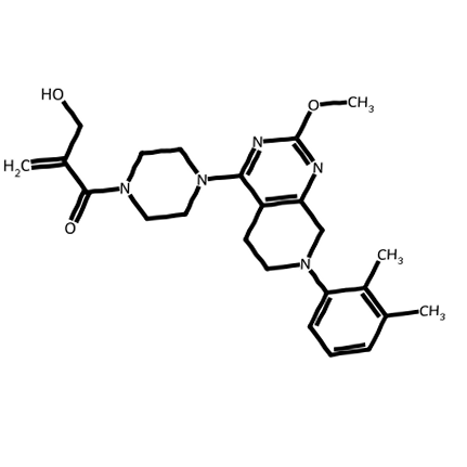 C=C(CO)C(=O)N1CCN(c2nc(OC)nc3c2CCN(c2cccc(C)c2C)C3)CC1